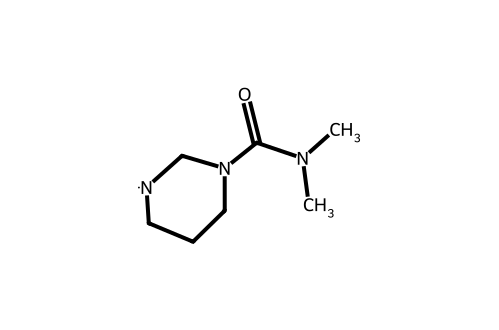 CN(C)C(=O)N1CCC[N]C1